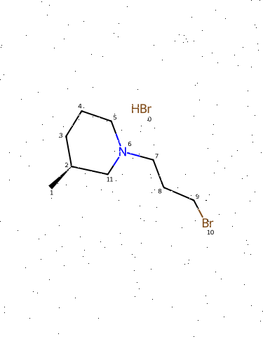 Br.C[C@H]1CCCN(CCCBr)C1